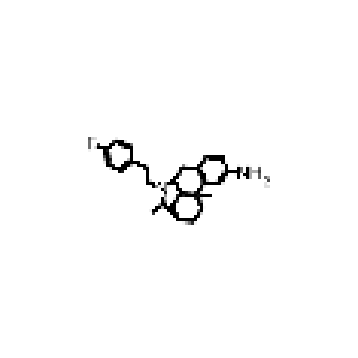 CC1C2CC[C@@]3(C)c4cc(N)ccc4CC(C3C2)N1CCc1ccc(F)cc1